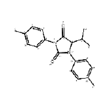 Cc1ccc(N2C(=O)C(C(C)C)N(c3ccc(C)cc3)C2=O)cc1